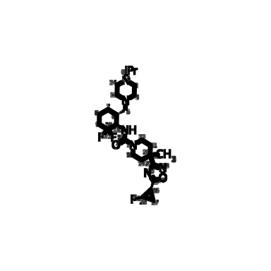 CC(C)N1CCN(C[C@H]2CCCC(F)(F)[C@@H]2NC(=O)N2CCC(C)(c3noc([C@@H]4C[C@@H]4F)n3)CC2)CC1